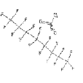 FC(F)(F)C(F)(F)C(F)(F)C(F)(F)C(F)(F)C(F)(F)C(F)(F)C(F)(F)F.O=[SH](=O)Cl